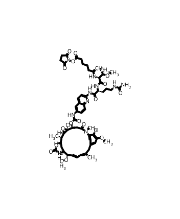 C=C(CCCCC(=O)ON1C(=O)CCC1=O)N[C@H](C(=O)N[C@@H](CCCNC(N)=O)C(=O)Nc1ccc2cc(NC(=O)O[C@H]3CC(=O)N(C)c4cc(cc(OC)c4Cl)C/C(C)=C/C=C/[C@@H](OC)[C@@]4(O)C[C@H](OC(=O)N4)[C@@H](C)[C@@H]4O[C@@]34C)ccc2n1)C(C)OC